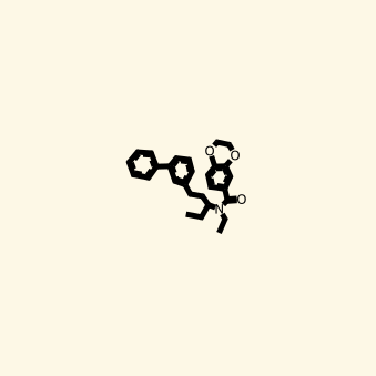 CCC(CCc1cccc(-c2ccccc2)c1)N(CC)C(=O)c1ccc2c(c1)OCCO2